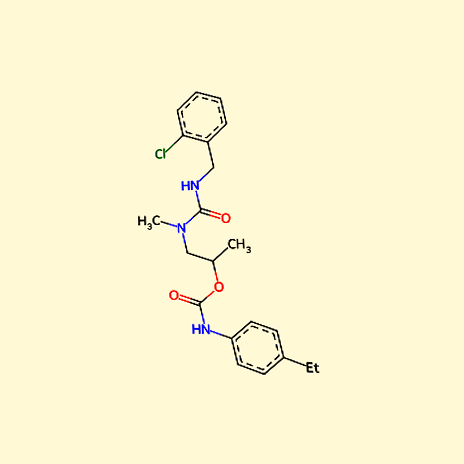 CCc1ccc(NC(=O)OC(C)CN(C)C(=O)NCc2ccccc2Cl)cc1